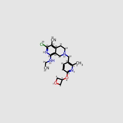 Cc1nc(OC2COC2)ccc1CN1CCc2c(C#N)c(Cl)nc(NCC#N)c2C1